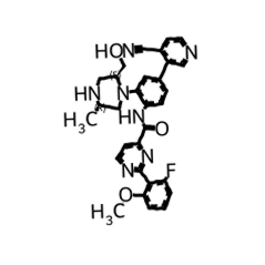 COc1cccc(F)c1-c1nccc(C(=O)Nc2ccc(-c3cnccc3C#N)cc2N2C[C@@H](C)NC[C@H]2CO)n1